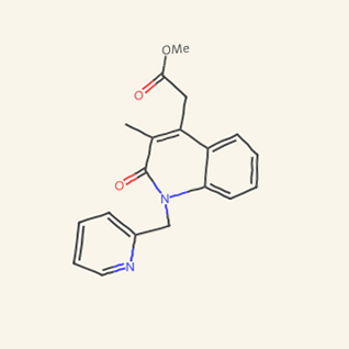 COC(=O)Cc1c(C)c(=O)n(Cc2ccccn2)c2ccccc12